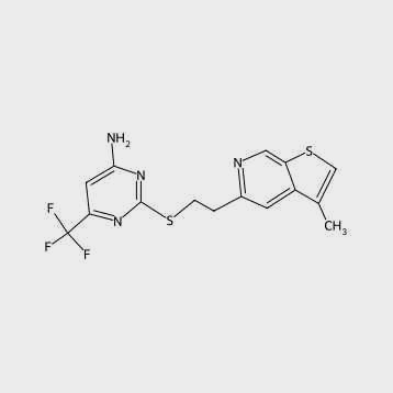 Cc1csc2cnc(CCSc3nc(N)cc(C(F)(F)F)n3)cc12